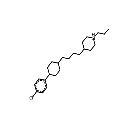 CCC[SiH]1CCC(CCCCC2CCC(c3ccc(Cl)cc3)CC2)CC1